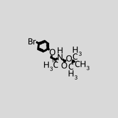 C[C@H](COc1ccc(Br)cc1)NC(=O)OC(C)(C)C